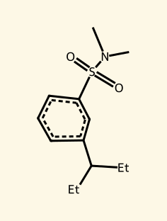 CCC(CC)c1cccc(S(=O)(=O)N(C)C)c1